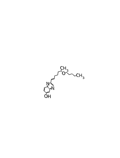 CCCCCOC(C)CCCC=Cc1cnc2cc(O)ccc2n1